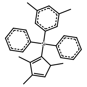 CC1=CC(C)C([Si](c2ccccc2)(c2ccccc2)c2cc(C)cc(C)c2)=C1C